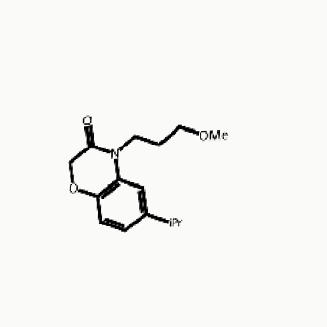 COCCCN1C(=O)COc2ccc(C(C)C)cc21